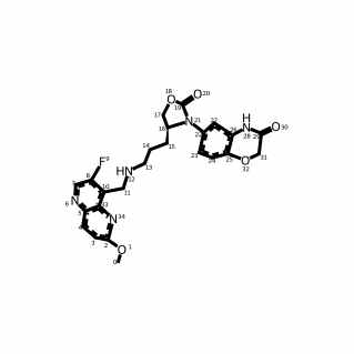 COc1ccc2ncc(F)c(CNCCC[C@H]3COC(=O)N3c3ccc4c(c3)NC(=O)CO4)c2n1